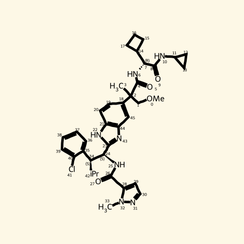 COCC(C)(C(=O)N[C@@H](C(=O)NC1CC1)C1CCC1)c1ccc2[nH]c([C@@H](NC(=O)c3ccnn3C)[C@H](c3ccccc3Cl)C(C)C)nc2c1